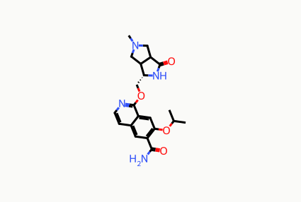 CC(C)Oc1cc2c(OC[C@H]3NC(=O)C4CN(C)CC43)nccc2cc1C(N)=O